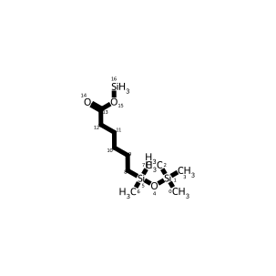 C[Si](C)(C)O[Si](C)(C)CCCCCC(=O)O[SiH3]